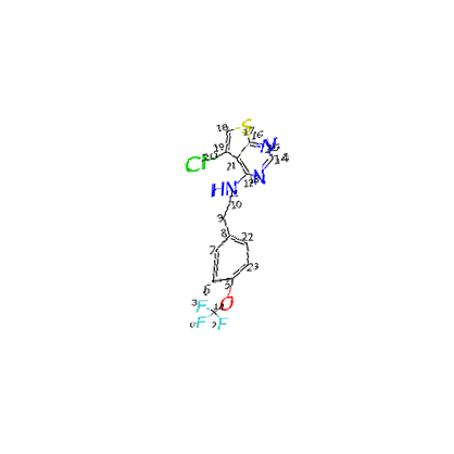 FC(F)(F)Oc1ccc(CCNc2ncnc3scc(Cl)c23)cc1